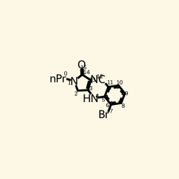 CCCN1CC(Nc2c(Br)cccc2C#N)=CC1=O